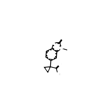 Cn1c(=O)oc2ccc(C3(C(=O)O)CC3)cc21